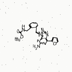 CC(C)(C)OC(=O)NCc1ccccc1Cn1nnc2c(-c3ccco3)nc(N)nc21